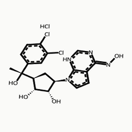 C[C@@](O)(c1ccc(Cl)c(Cl)c1)[C@H]1C[C@@H](n2ccc3/c(=N/O)nc[nH]c32)[C@H](O)[C@@H]1O.Cl